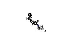 NC(=S)N/N=C/c1cc(F)c(N2CC[C@H](NCc3ccccc3)C2)cc1F